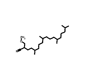 CC(C)CCCC(C)CCCC(C)CCCC(C)CCC(C#N)COP